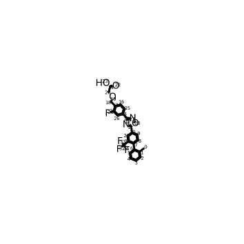 Cc1ccccc1-c1ccc(-c2nc(-c3ccc(COCC(=O)O)c(F)c3)no2)cc1C(F)(F)F